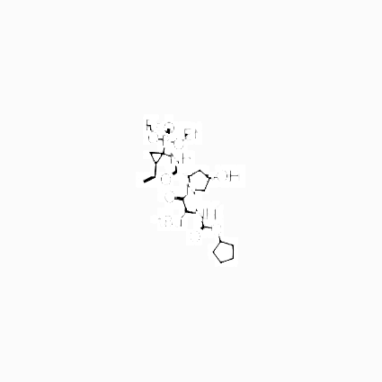 C=CC1CC1(NC(=O)[C@@H]1C[C@@H](O)CN1C(=O)[C@@H](NC(=O)OC1CCCC1)C(C)(C)C)P(=O)(OCC)OCC